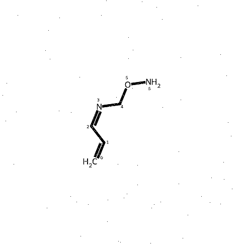 C=C/C=N\CON